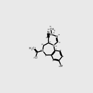 C=C(Cl)N1Cc2cc(Br)ccc2N(/C=N\NC)C(C#N)C1